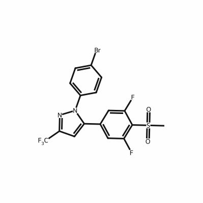 CS(=O)(=O)c1c(F)cc(-c2cc(C(F)(F)F)nn2-c2ccc(Br)cc2)cc1F